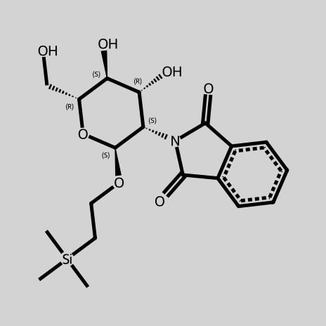 C[Si](C)(C)CCO[C@H]1O[C@H](CO)[C@@H](O)[C@H](O)[C@@H]1N1C(=O)c2ccccc2C1=O